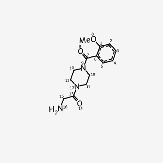 COc1ccccc1C(=O)N1CCN(C(=O)CN)CC1